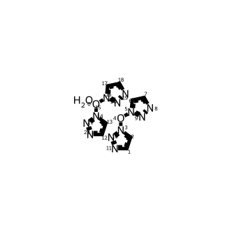 O.c1cn(On2ccnn2)nn1.c1cn(On2ccnn2)nn1